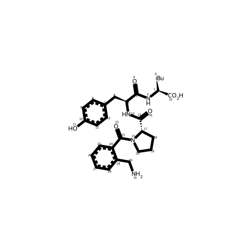 CC[C@H](C)[C@H](NC(=O)[C@H](Cc1ccc(O)cc1)NC(=O)[C@@H]1CCCN1C(=O)c1ccccc1CN)C(=O)O